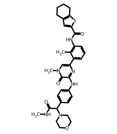 CNC(=O)C(c1ccc(Nc2nc(-c3cccc(NC(=O)c4cc5c(s4)CCCC5)c3C)cn(C)c2=O)cc1)N1CCOCC1